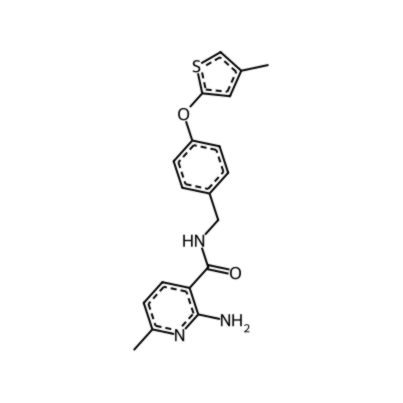 Cc1csc(Oc2ccc(CNC(=O)c3ccc(C)nc3N)cc2)c1